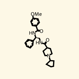 COc1ccc(C(=O)N[C@@H](CNC(=O)C2CCN(C3CCCC3)CC2)c2ccccc2)cc1